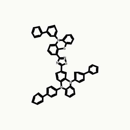 c1ccc(-c2ccc(N3c4ccccc4N(c4ccc(-c5ccccc5)cc4)c4cc(-c5nc(-c6cccc7c6Sc6ccccc6N7c6cccc(-c7ccccc7)c6)ns5)ccc43)cc2)cc1